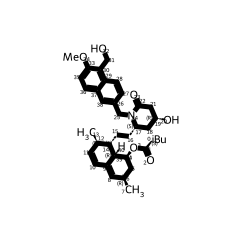 CC[C@H](C)C(=O)O[C@H]1C[C@@H](C)C=C2C=C[C@H](C)[C@H](CC[C@H]3C[C@@H](O)CC(=O)N3Cc3ccc4c(CO)c(OC)ccc4c3)[C@H]21